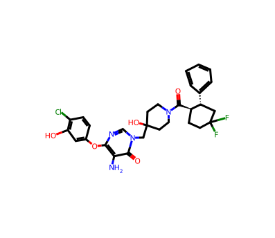 Nc1c(Oc2ccc(Cl)c(O)c2)ncn(CC2(O)CCN(C(=O)[C@@H]3CCC(F)(F)C[C@H]3c3ccccc3)CC2)c1=O